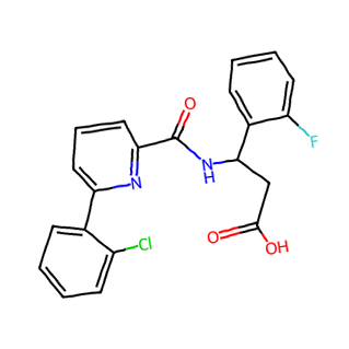 O=C(O)CC(NC(=O)c1cccc(-c2ccccc2Cl)n1)c1ccccc1F